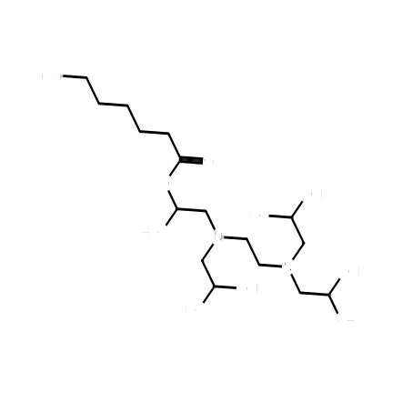 CC(O)CN(CCN(CC(C)O)CC(C)OC(=O)CCCCCC(C)(C)C)CC(C)O